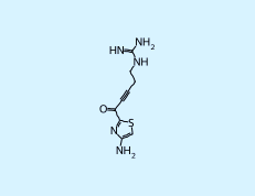 N=C(N)NCCC#CC(=O)c1nc(N)cs1